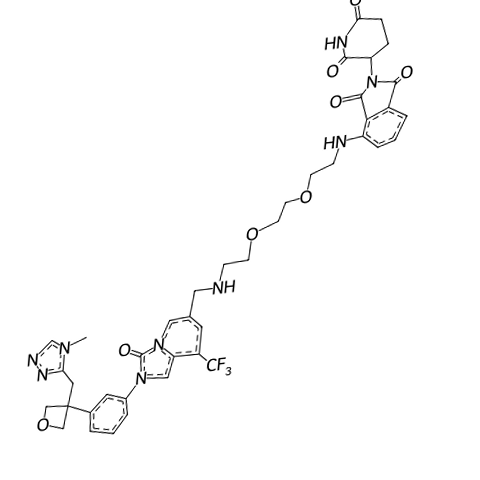 Cn1cnnc1CC1(c2cccc(-n3cc4c(C(F)(F)F)cc(CNCCOCCOCCNc5cccc6c5C(=O)N(C5CCC(=O)NC5=O)C6=O)cn4c3=O)c2)COC1